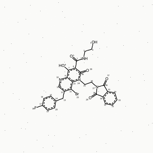 O=C(NCCO)c1c(O)c2ncc(Cc3ccc(F)cc3)c(Br)c2n(CCN2C(=O)c3ccccc3C2=O)c1=O